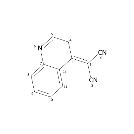 N#CC(C#N)=C1CC=Nc2ccccc21